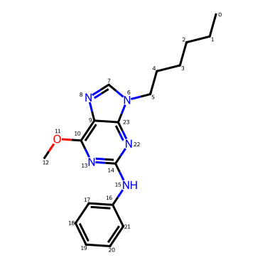 CCCCCCn1cnc2c(OC)nc(Nc3ccccc3)nc21